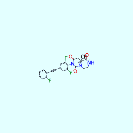 C[C@]12CC(=O)N(c3c(F)cc(C#Cc4ccccc4F)cc3F)C(=O)N1CCNC2=O